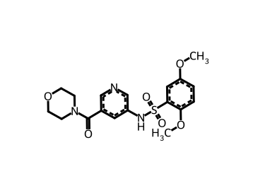 COc1ccc(OC)c(S(=O)(=O)Nc2cncc(C(=O)N3CCOCC3)c2)c1